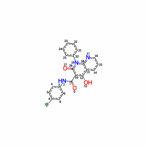 O=C(Nc1ccc(F)cc1)c1c(O)c2cccnc2n(-c2ccccc2)c1=O